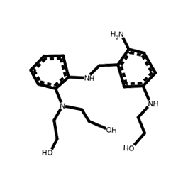 Nc1ccc(NCCO)cc1CNc1ccccc1N(CCO)CCO